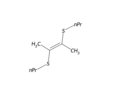 CCCS/C(C)=C(\C)SCCC